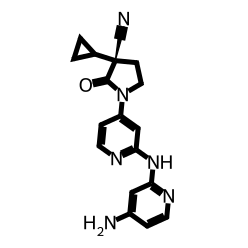 N#C[C@@]1(C2CC2)CCN(c2ccnc(Nc3cc(N)ccn3)c2)C1=O